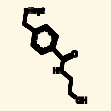 CCCCCCCCc1ccc(C(=O)NCCO)cc1